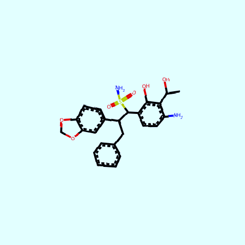 CC(O)c1c(N)ccc(C(C(Cc2ccccc2)c2ccc3c(c2)OCO3)S(N)(=O)=O)c1O